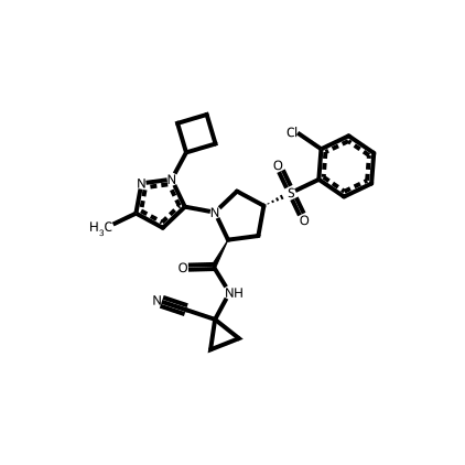 Cc1cc(N2C[C@H](S(=O)(=O)c3ccccc3Cl)C[C@H]2C(=O)NC2(C#N)CC2)n(C2CCC2)n1